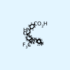 O=C(CN[C@H]1CC[C@H](C(=O)O)CC1)N1CCc2c(C(F)(F)F)nn(Cc3ccc(F)cc3)c2C1